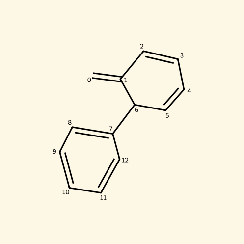 C=C1C=CC=CC1c1ccccc1